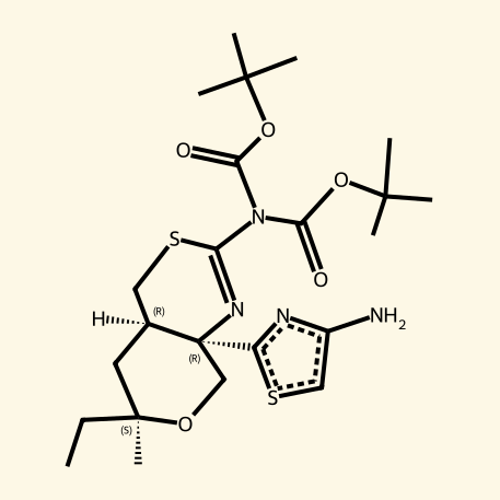 CC[C@@]1(C)C[C@H]2CSC(N(C(=O)OC(C)(C)C)C(=O)OC(C)(C)C)=N[C@@]2(c2nc(N)cs2)CO1